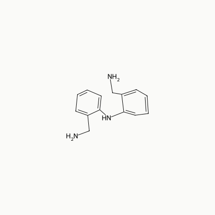 NCc1ccccc1Nc1ccccc1CN